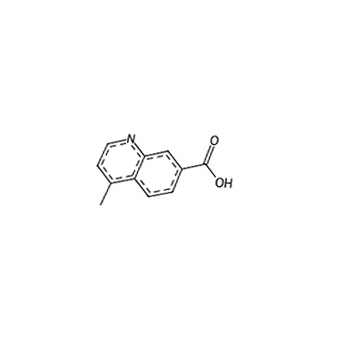 Cc1ccnc2cc(C(=O)O)ccc12